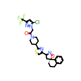 O=C(Cn1nc(C(F)(F)F)cc1Cl)N1CCC(c2nc(C3=NO[C@]4(CCCc5ccccc54)C3)cs2)CC1